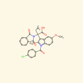 CCC(C(=O)O)(c1c(C)n(C(=O)c2ccc(Cl)cc2)c2ccc(OC)cc12)N1C(=O)c2ccccc2C1=O